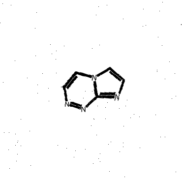 [c]1cn2ccnc2nn1